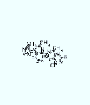 Cc1cc(-c2ncnn2C)c2cccc(OCc3c(Cl)cc(F)cc3C(C)N)c2n1